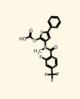 CN(C(=O)c1ccc(C(F)(F)F)cc1F)c1cc(-c2ccccc2)sc1OC(=O)O